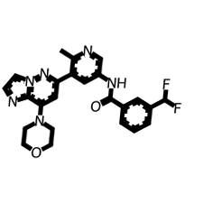 Cc1ncc(NC(=O)c2cccc(C(F)F)c2)cc1-c1cc(N2CCOCC2)c2nccn2n1